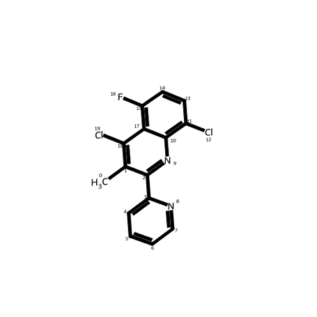 Cc1c(-c2ccccn2)nc2c(Cl)ccc(F)c2c1Cl